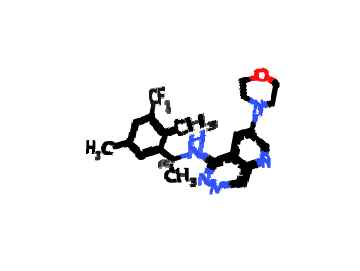 CC1=C(C(F)(F)F)CC(C)C=C1[C@@H](C)Nc1nncc2ncc(N3CCOCC3)cc12